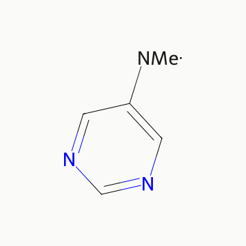 C[N]c1cncnc1